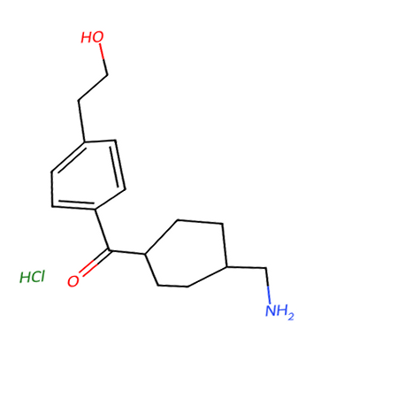 Cl.NCC1CCC(C(=O)c2ccc(CCO)cc2)CC1